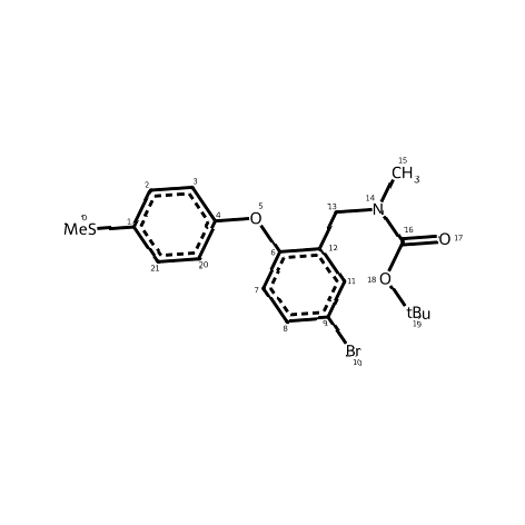 CSc1ccc(Oc2ccc(Br)cc2CN(C)C(=O)OC(C)(C)C)cc1